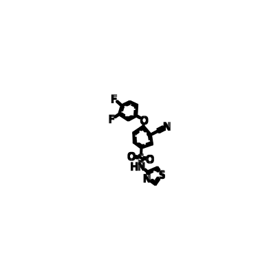 N#Cc1cc(S(=O)(=O)Nc2cscn2)ccc1Oc1ccc(F)c(F)c1